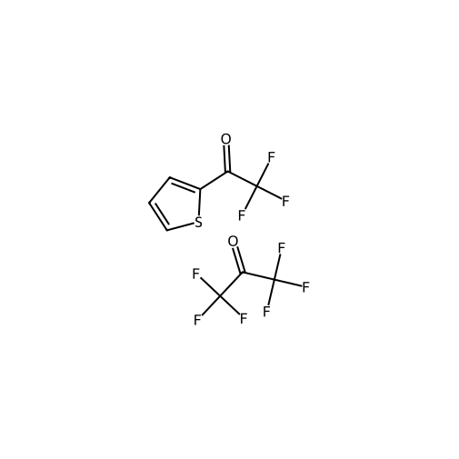 O=C(C(F)(F)F)C(F)(F)F.O=C(c1cccs1)C(F)(F)F